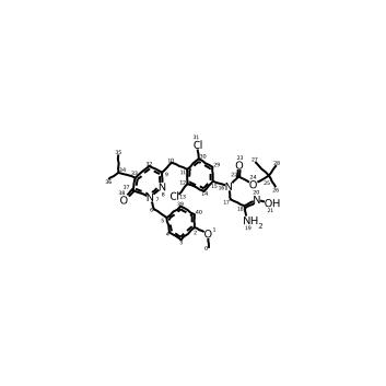 COc1ccc(Cn2nc(Cc3c(Cl)cc(N(C/C(N)=N/O)C(=O)OC(C)(C)C)cc3Cl)cc(C(C)C)c2=O)cc1